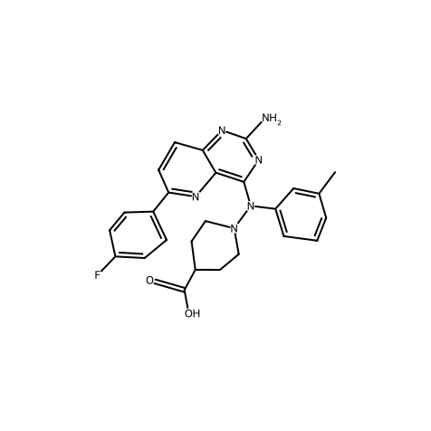 Cc1cccc(N(c2nc(N)nc3ccc(-c4ccc(F)cc4)nc23)N2CCC(C(=O)O)CC2)c1